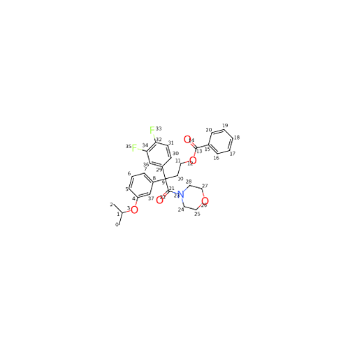 CC(C)Oc1cccc(C(CCOC(=O)c2ccccc2)(C(=O)N2CCOCC2)c2ccc(F)c(F)c2)c1